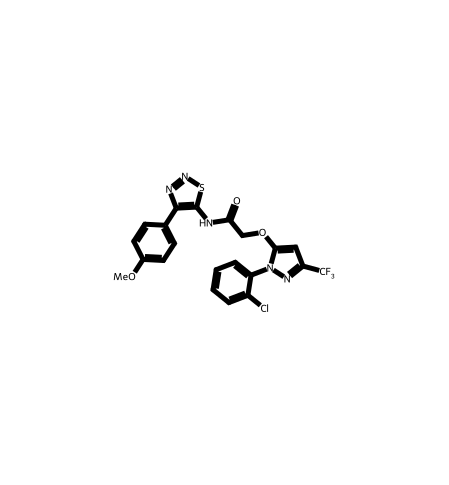 COc1ccc(-c2nnsc2NC(=O)COc2cc(C(F)(F)F)nn2-c2ccccc2Cl)cc1